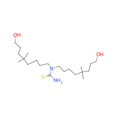 CC(C)(CCCO)CCCCN(CCCCC(C)(C)CCCO)C(N)=S